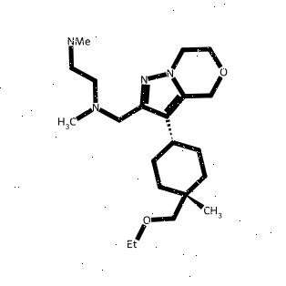 CCOC[C@]1(C)CC[C@H](c2c(CN(C)CCNC)nn3c2COCC3)CC1